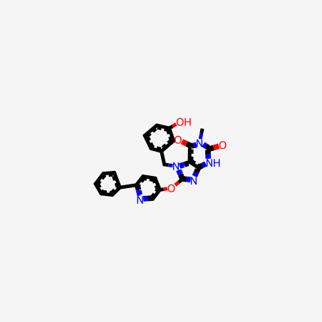 Cn1c(=O)[nH]c2nc(Oc3ccc(-c4ccccc4)nc3)n(Cc3cccc(O)c3)c2c1=O